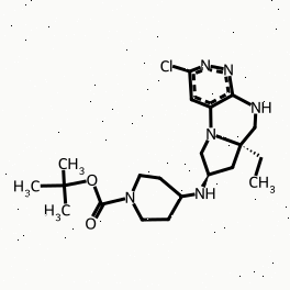 CC[C@@]12CNc3nnc(Cl)cc3N1C[C@H](NC1CCN(C(=O)OC(C)(C)C)CC1)C2